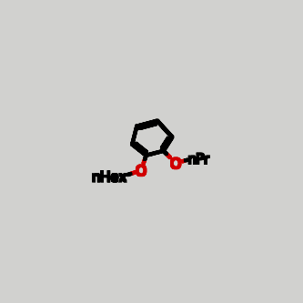 CCCCCCOc1ccccc1OCCC